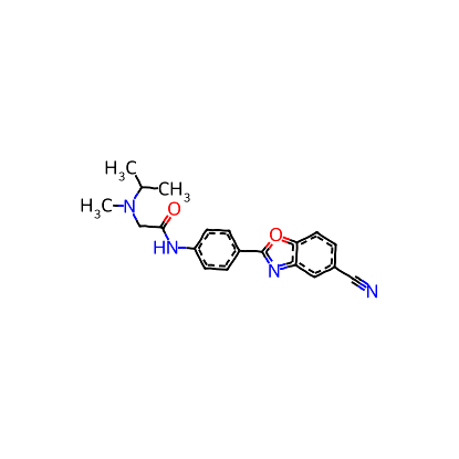 CC(C)N(C)CC(=O)Nc1ccc(-c2nc3cc(C#N)ccc3o2)cc1